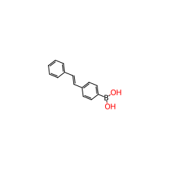 OB(O)c1ccc(C=Cc2ccccc2)cc1